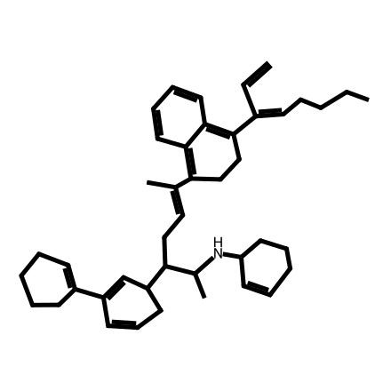 C=C/C(=C\CCCC)C1=c2ccccc2=C(/C(C)=C/CC(C2C=C(C3=CCCCC3)C=CC2)C(C)NC2C=CCCC2)CC1